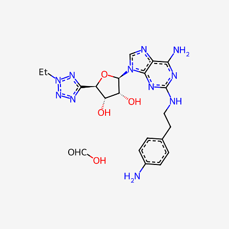 CCn1nnc([C@H]2O[C@@H](n3cnc4c(N)nc(NCCc5ccc(N)cc5)nc43)[C@H](O)[C@@H]2O)n1.O=CO